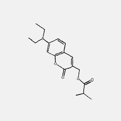 CCN(CC)c1ccc2cc(COC(=O)C(C)C)c(=O)oc2c1